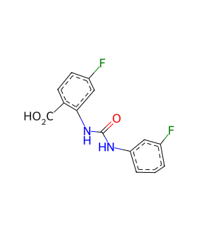 O=C(Nc1cccc(F)c1)Nc1cc(F)ccc1C(=O)O